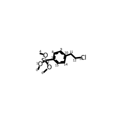 CO[Si](OC)(OC)c1ccc(CCCl)cc1